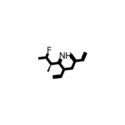 C=CC(=C)CC(C=C)C(=N)[C@@H](C)C(C)F